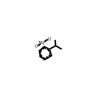 CC(C)c1cc[c]cc1.[Cl][Mg][Cl]